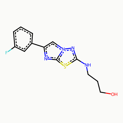 OCCCNc1nn2cc(-c3cccc(F)c3)nc2s1